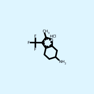 Cc1sc2c(c1C(F)(F)F)CCC(N)C2.Cl